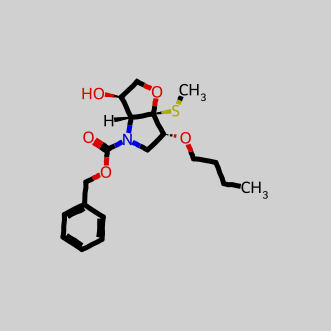 CCCCO[C@@H]1CN(C(=O)OCc2ccccc2)[C@@H]2[C@@H](O)CO[C@]12SC